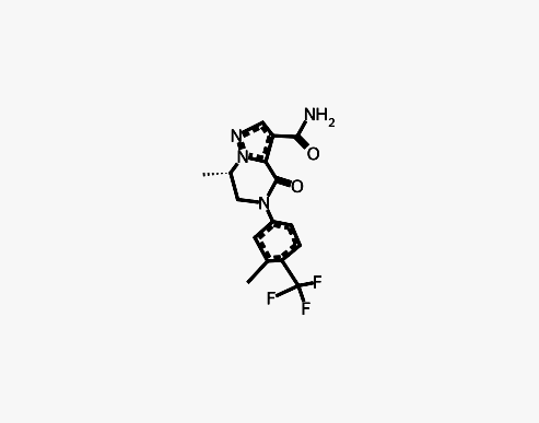 Cc1cc(N2C[C@H](C)n3ncc(C(N)=O)c3C2=O)ccc1C(F)(F)F